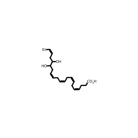 CC/C=C\CC(O)C(O)C/C=C\C/C=C\C/C=C\C/C=C\CCC(=O)O